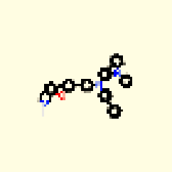 C1=Cc2ccc3c(oc4cc(-c5ccc(N(c6ccc(-c7ccccc7)cc6)c6ccc7c8ccccc8n(-c8ccccc8)c7c6)cc5)ccc43)c2CN1